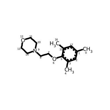 Cc1cc(C)c(OCCN2CCOCC2)c(C)c1